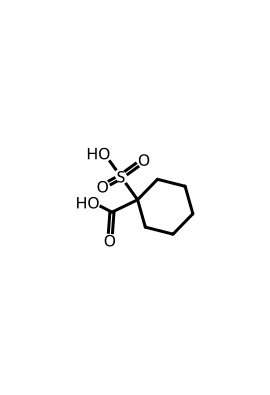 O=C(O)C1(S(=O)(=O)O)CCCCC1